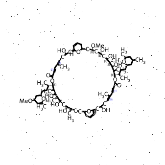 CO[C@H]1CC2CC=C[C@@H](CC(O)C/C=C(C)/C=C/C(=O)O[C@@H](C(C)CCC3C[C@H](OC)C[C@H](C)O3)C(C)C(O)[C@@H](C)[C@H](O)C[C@H](O)[C@H](C)CCC3CC=C[C@@H](CC(O)C/C=C(C)/C=C/C(=O)O[C@@H](C(C)CCC4CC(C)C[C@H](C)O4)C(C)C(O)[C@@H](C)[C@H](O)C[C@H](O)C1)O3)O2